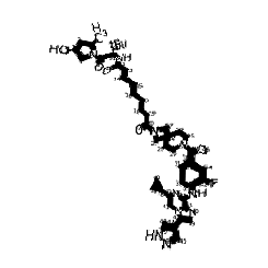 C[C@@H]1C[C@@H](O)CN1C(=O)[C@@H](NC(=O)CCCCCCCC(=O)N1CC2(CCN(C(=O)c3ccc(Nc4nc(C5CC5)cn5c(-c6cn[nH]c6)cnc45)c(F)c3)CC2)C1)C(C)(C)C